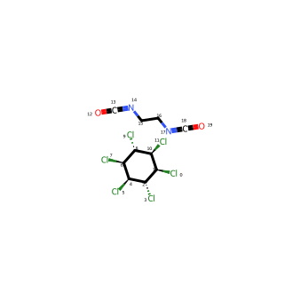 Cl[C@H]1[C@H](Cl)[C@@H](Cl)[C@@H](Cl)[C@H](Cl)[C@H]1Cl.O=C=NCCN=C=O